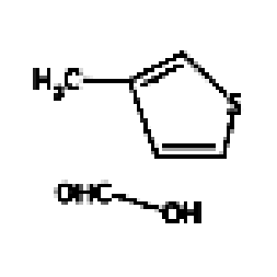 Cc1ccsc1.O=CO